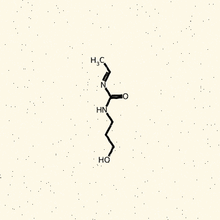 CC=NC(=O)NCCCO